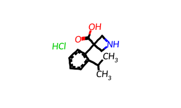 CC(C)c1ccccc1C1(C(=O)O)CNC1.Cl